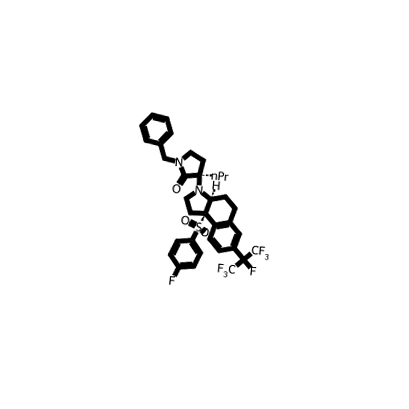 CCC[C@@]1(N2CC[C@]3(S(=O)(=O)c4ccc(F)cc4)c4ccc(C(F)(C(F)(F)F)C(F)(F)F)cc4CC[C@H]23)CCN(Cc2ccccc2)C1=O